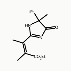 CCOC(=O)/C(C)=C(/C)C1=NC(=O)C(C)(C(C)C)N1